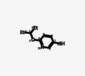 CCC(CC)Oc1ccc(S)cn1